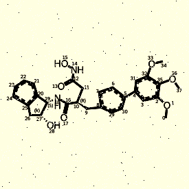 COc1cc(-c2ccc(C[C@H](CC(=O)NO)C(=O)N[C@H]3c4ccccc4C[C@H]3O)cc2)cc(OC)c1OC